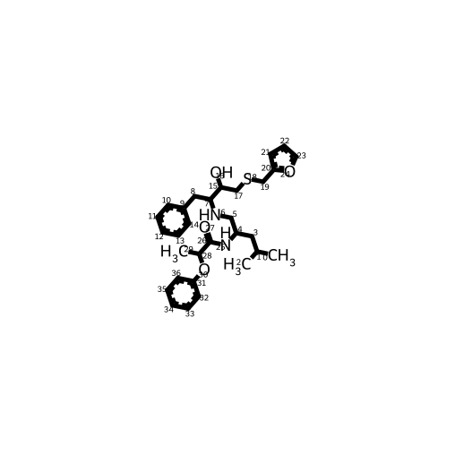 CC(C)CC(CNC(Cc1ccccc1)C(O)CSCc1ccco1)NC(=O)C(C)Oc1ccccc1